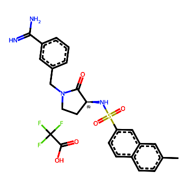 Cc1ccc2ccc(S(=O)(=O)N[C@H]3CCN(Cc4cccc(C(=N)N)c4)C3=O)cc2c1.O=C(O)C(F)(F)F